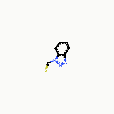 S=Cn1nnc2ccccc21